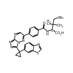 CC(C)(C)CC(C)(C)[C@H](NC(=O)c1ccc(-c2cnc3nnc(C4(c5ccc6ncsc6c5)CC4)n3n2)cc1)C(=O)O